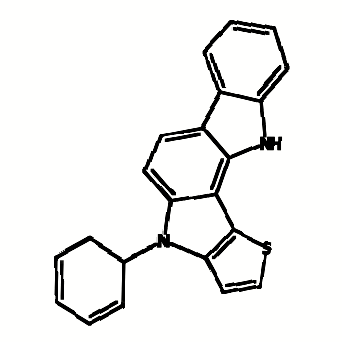 C1=CCC(n2c3ccsc3c3c4[nH]c5ccccc5c4ccc32)C=C1